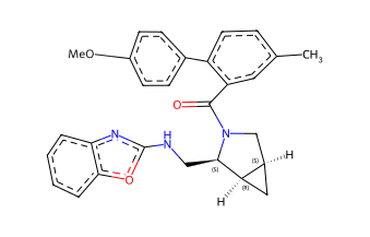 COc1ccc(-c2ccc(C)cc2C(=O)N2C[C@H]3C[C@H]3[C@H]2CNc2nc3ccccc3o2)cc1